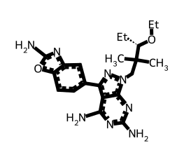 CCO[C@@H](CC)C(C)(C)Cn1nc(-c2ccc3oc(N)nc3c2)c2c(N)nc(N)nc21